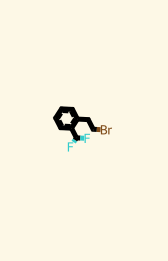 FC(F)c1ccccc1CCBr